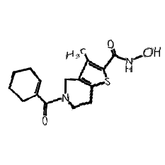 Cc1c(C(=O)NO)sc2c1CN(C(=O)C1=CCCCC1)CC2